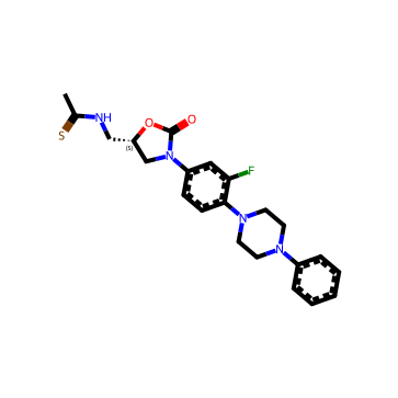 CC(=S)NC[C@H]1CN(c2ccc(N3CCN(c4ccccc4)CC3)c(F)c2)C(=O)O1